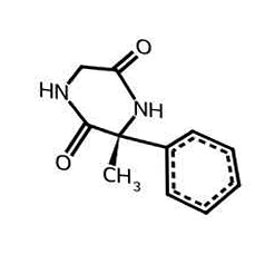 C[C@]1(c2ccccc2)NC(=O)CNC1=O